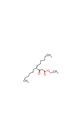 CCCCCCC(CCCCCC)C(=O)CC(=O)OCC